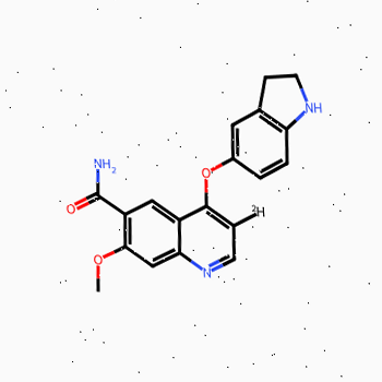 [2H]c1cnc2cc(OC)c(C(N)=O)cc2c1Oc1ccc2c(c1)CCN2